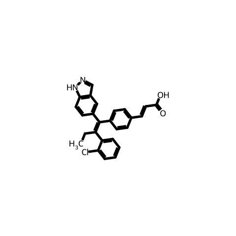 CC/C(=C(/c1ccc(/C=C/C(=O)O)cc1)c1ccc2[nH]ncc2c1)c1ccccc1Cl